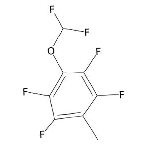 Cc1c(F)c(F)c(OC(F)F)c(F)c1F